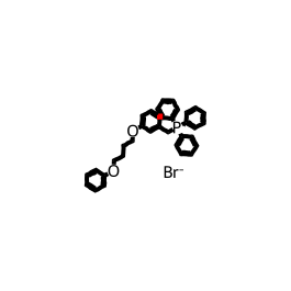 [Br-].c1ccc(OCCCCOc2cccc(C[P+](c3ccccc3)(c3ccccc3)c3ccccc3)c2)cc1